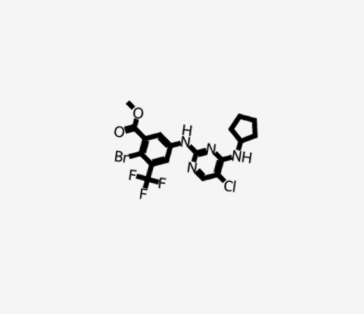 COC(=O)c1cc(Nc2ncc(Cl)c(NC3CCCC3)n2)cc(C(F)(F)F)c1Br